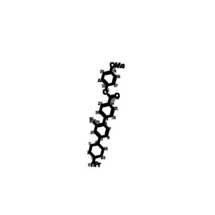 CCCC1CCC(c2ccc(-c3ccc(C(=O)Oc4ccc(OC)cc4)cc3)c(F)c2)CC1